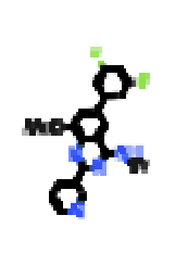 COc1cc(-c2cc(F)cc(F)c2)cc2c(NC(C)C)nc(-c3cccnc3)nc12